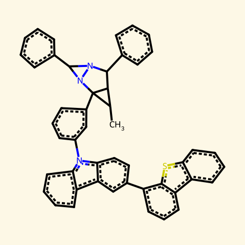 CC1C2C(c3ccccc3)N3C(c4ccccc4)N3C12c1cccc(-n2c3ccccc3c3cc(-c4cccc5c4sc4ccccc45)ccc32)c1